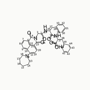 O=C(CN1C(=O)c2cccc3c(N4CCCCCC4)ccc(c23)C1=O)NC(Cc1ccccc1)C(=O)NC(Cc1ccccc1)C(=O)O